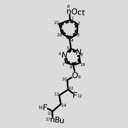 CCCCCCCCc1ccc(-c2ncc(OCC(F)CCC(F)CCCC)cn2)cc1